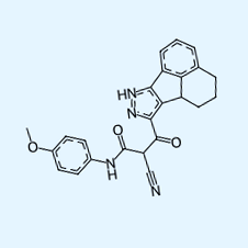 COc1ccc(NC(=O)C(C#N)C(=O)c2n[nH]c3c2C2CCCc4cccc-3c42)cc1